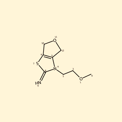 COCCn1c2c(sc1=N)COC2